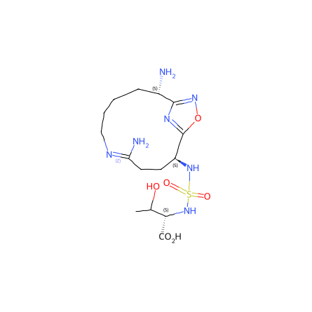 CC(O)[C@H](NS(=O)(=O)N[C@H]1CC/C(N)=N/CCCC[C@H](N)c2noc1n2)C(=O)O